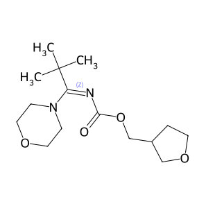 CC(C)(C)/C(=N/C(=O)OCC1CCOC1)N1CCOCC1